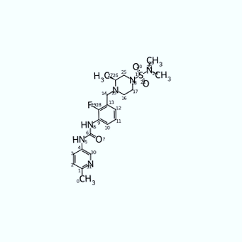 Cc1ccc(NC(=O)Nc2cccc(CN3CCN(S(=O)(=O)N(C)C)C[C@@H]3C)c2F)cn1